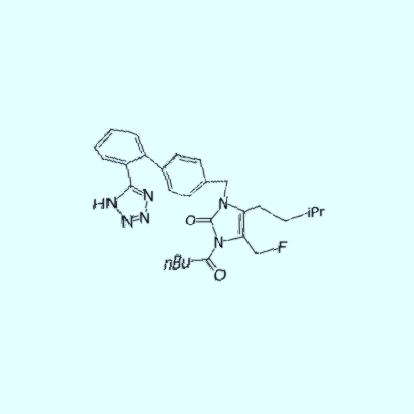 CCCCC(=O)n1c(CF)c(CCC(C)C)n(Cc2ccc(-c3ccccc3-c3nnn[nH]3)cc2)c1=O